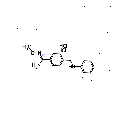 CO/N=C(\N)c1ccc(CNc2ccccc2)cc1.Cl.Cl